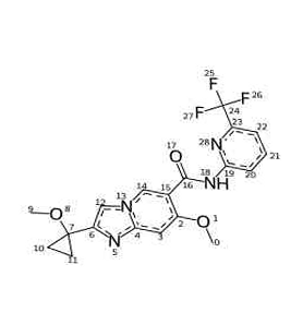 COc1cc2nc(C3(OC)CC3)cn2cc1C(=O)Nc1cccc(C(F)(F)F)n1